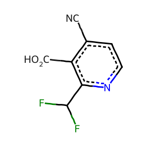 N#Cc1ccnc(C(F)F)c1C(=O)O